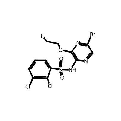 O=S(=O)(Nc1ncc(Br)nc1OCCF)c1cccc(Cl)c1Cl